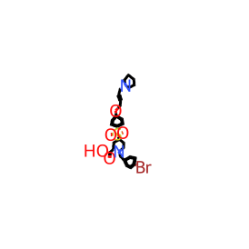 O=C(O)C1CC(S(=O)(=O)c2ccc(OCC#CCN3CCCCC3)cc2)CCN1Cc1ccc(Br)cc1